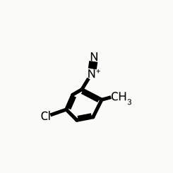 Cc1ccc(Cl)cc1[N+]#N